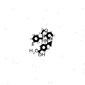 C=C(O)c1ccc(C2(Nc3nccc4c3N(Cc3cccc(F)c3)CCO4)CC2)cc1